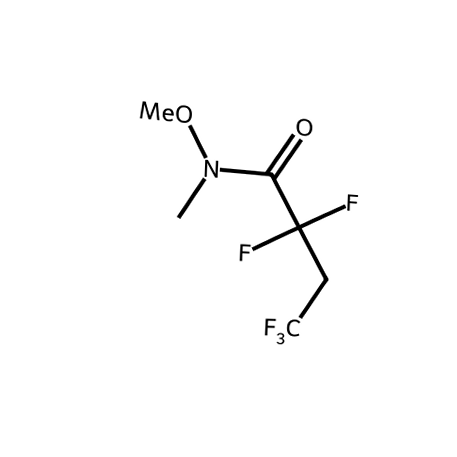 CON(C)C(=O)C(F)(F)CC(F)(F)F